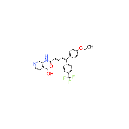 CCOc1ccc(/C(=C/C=C/C(=O)Nc2cnccc2CO)c2ccc(C(F)(F)F)cc2)cc1